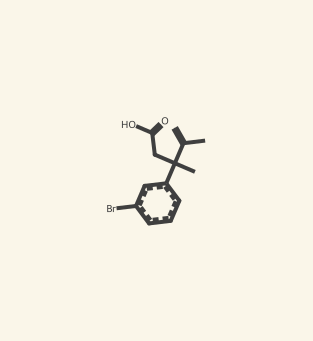 C=C(C)C(C)(CC(=O)O)c1cccc(Br)c1